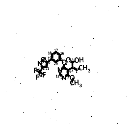 CC=C(C(=O)O)c1c(OC)ncnc1Oc1cccc(-c2cc(C(F)(F)F)no2)c1